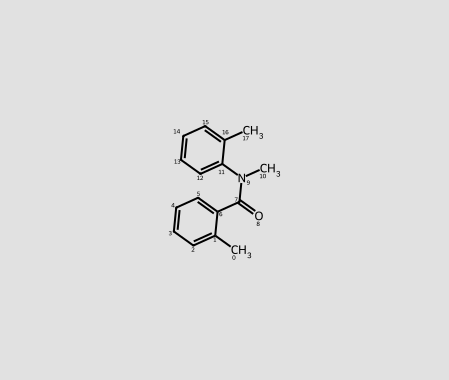 Cc1ccccc1C(=O)N(C)c1ccccc1C